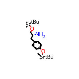 CC(C)(C)[Si](C)(C)OC[C@H](N)Cc1ccc(O[Si](C)(C)C(C)(C)C)cc1